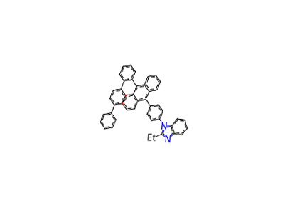 CCc1nc2ccccc2n1-c1ccc(-c2c3ccccc3c(-c3ccccc3-c3ccc(-c4ccccc4)cc3)c3ccccc23)cc1